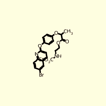 CCOC(=O)NCCOC(=O)C(C)Oc1ccc(Oc2ccc3cc(Br)ccc3n2)cc1